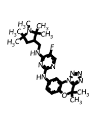 CN1C(C)(C)CC(CNc2nc(Nc3ccc4c(c3)-n3nnnc3C(C)(C)O4)ncc2F)C1(C)C